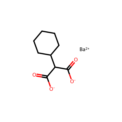 O=C([O-])C(C(=O)[O-])C1CCCCC1.[Ba+2]